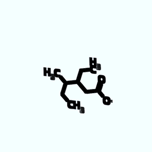 CCC(C)C(CC)CC([O])=O